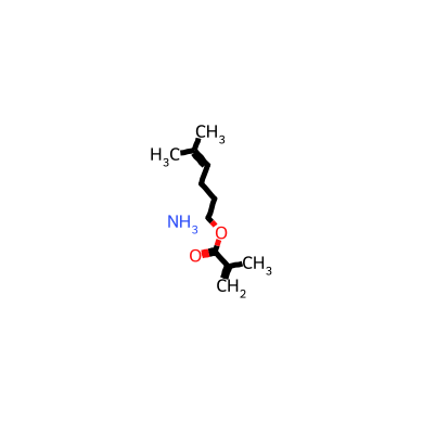 C=C(C)C(=O)OCCCC=C(C)C.N